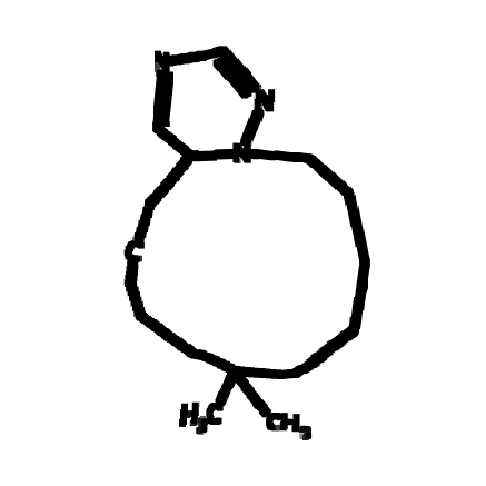 CC1(C)CCCCCN2N=CN=CC2CCCC1